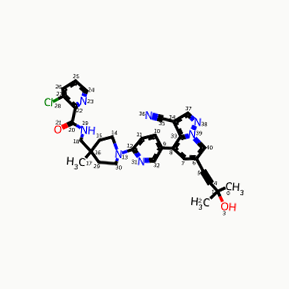 CC(C)(O)C#Cc1cc(-c2ccc(N3CCC(C)(CNC(=O)c4ncccc4Cl)CC3)nc2)c2c(C#N)cnn2c1